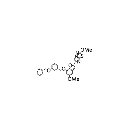 COc1cc(OCc2cccc(OCc3ccccc3)c2)c2oc(-c3cn4nc(OC)sc4n3)cc2c1